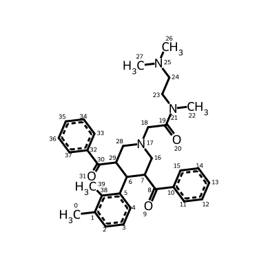 Cc1cccc(C2C(C(=O)c3ccccc3)CN(CC(=O)N(C)CCN(C)C)CC2C(=O)c2ccccc2)c1C